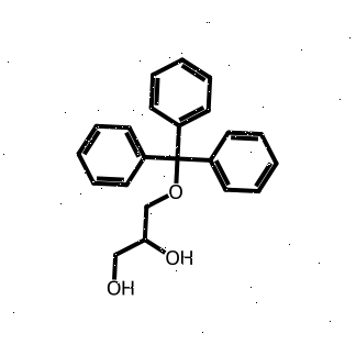 OCC(O)COC(c1ccccc1)(c1ccccc1)c1ccccc1